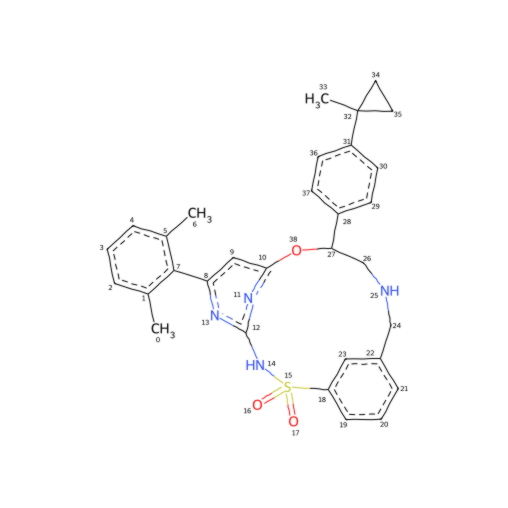 Cc1cccc(C)c1-c1cc2nc(n1)NS(=O)(=O)c1cccc(c1)CNCC(c1ccc(C3(C)CC3)cc1)O2